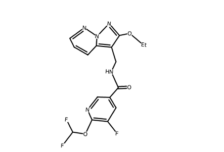 CCOc1nn2ncccc2c1CNC(=O)c1cnc(OC(F)F)c(F)c1